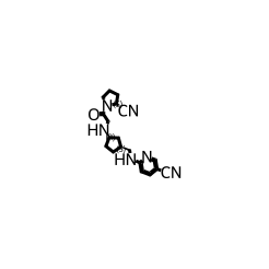 N#Cc1ccc(NC[C@H]2CC[C@@H](NCC(=O)N3CCC[C@H]3C#N)C2)nc1